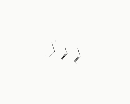 C=CC(=O)O.C=CC(=O)O.CC(C)(C)CO